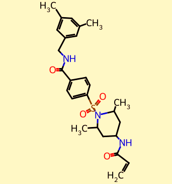 C=CC(=O)NC1CC(C)N(S(=O)(=O)c2ccc(C(=O)NCc3cc(C)cc(C)c3)cc2)C(C)C1